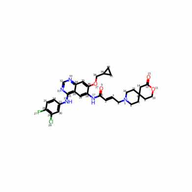 O=C(C=CCN1CCC2(CCOC(=O)C2)CC1)Nc1cc2c(Nc3ccc(F)c(Cl)c3)ncnc2cc1OCC1CC1